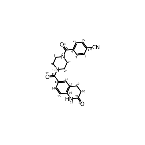 N#Cc1ccc(C(=O)N2CCN(C(=O)c3ccc4c(c3)CCC(=O)N4)CC2)cc1